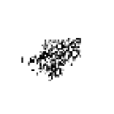 C=CC(=O)N1CCC(O)(C(=O)N(C)C(C(=O)N[C@@H](CC)C(=O)N2CCC[C@@H](C(=O)OCC(C)(C)Cc3c(-c4cccnc4[C@H](C)OC)n(CC)c4ccc(N5CCOCC5)cc34)N2)C(C)C)C1